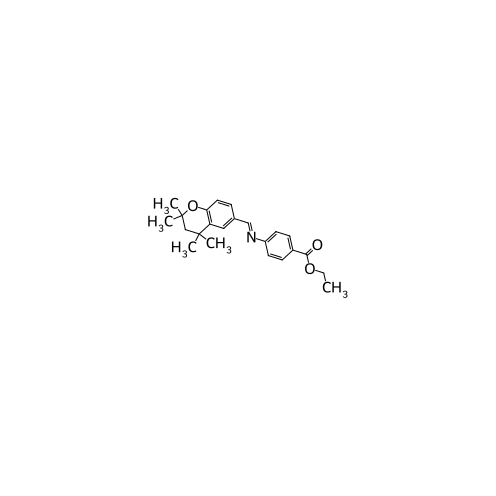 CCOC(=O)c1ccc(N=Cc2ccc3c(c2)C(C)(C)CC(C)(C)O3)cc1